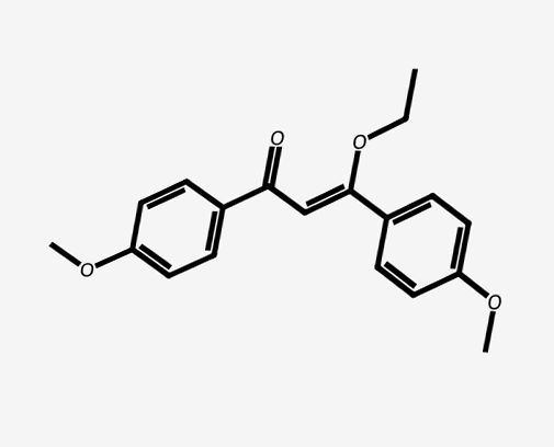 CCO/C(=C\C(=O)c1ccc(OC)cc1)c1ccc(OC)cc1